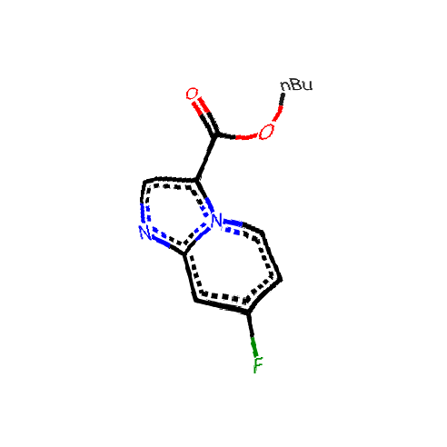 CCCCOC(=O)c1cnc2cc(F)ccn12